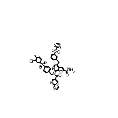 Cc1ccc(S(=O)(=O)c2ccc(CN(C(=O)c3cnc4nccn4c3)c3ncc(Cc4cccc(S(=O)(=O)c5nccs5)c4)c4cc(C(N)=O)oc34)cc2)cc1Cl